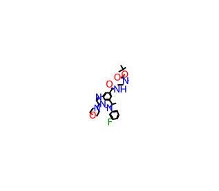 CC(c1cc(C(=O)NCCN(C)C(=O)OC(C)(C)C)cc2ncc(N3CCOCC3)nc12)N(C)c1cccc(F)c1